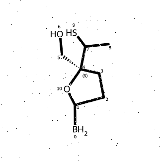 BC1CC[C@](CO)(C(C)S)O1